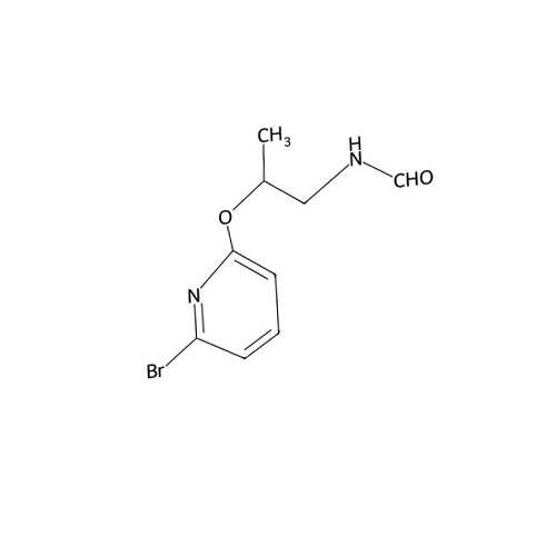 CC(CNC=O)Oc1cccc(Br)n1